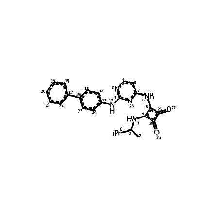 CC(C)C(C)Nc1c(Nc2ccnc(Nc3ccc(-c4ccccc4)cc3)n2)c(=O)c1=O